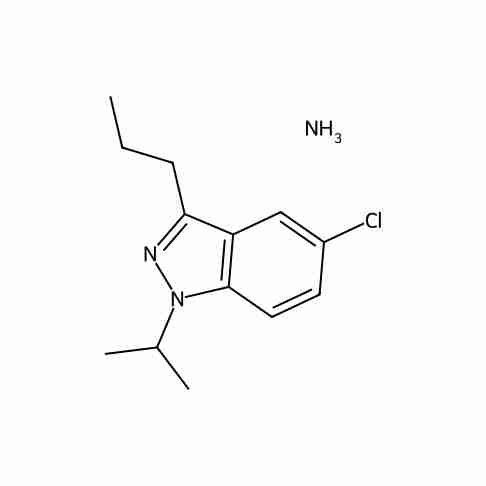 CCCc1nn(C(C)C)c2ccc(Cl)cc12.N